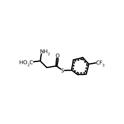 NC(CC(=O)Sc1ccc(C(F)(F)F)cc1)C(=O)O